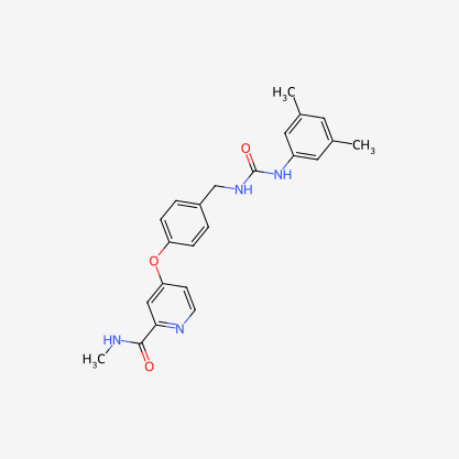 CNC(=O)c1cc(Oc2ccc(CNC(=O)Nc3cc(C)cc(C)c3)cc2)ccn1